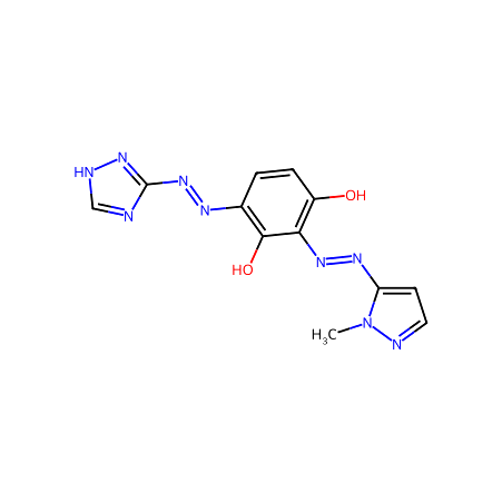 Cn1nccc1/N=N/c1c(O)ccc(/N=N/c2nc[nH]n2)c1O